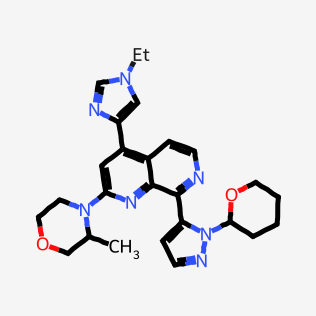 CCn1cnc(-c2cc(N3CCOCC3C)nc3c(-c4ccnn4C4CCCCO4)nccc23)c1